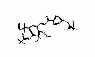 C=CC(C)(C)c1cc(C=CC(=O)c2ccc(OC(=O)C(C)(C)C)cc2)c(OCC)c(OC)c1OC(=O)C(C)(C)C